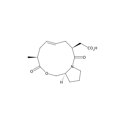 C[C@H]1C/C=C/C[C@@H](CC(=O)O)C(=O)N2CCC[C@H]2COC1=O